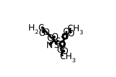 C=CC(=O)OCCOC(=O)/C(C#N)=C1/Sc2c(OC(=O)CC)ccc(-c3ccc(OC(C)=O)cc3)c2S1